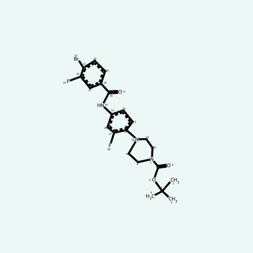 CC(C)(C)OC(=O)N1CCN(c2ccc(NC(=O)c3ccc(Br)c(F)c3)cc2F)CC1